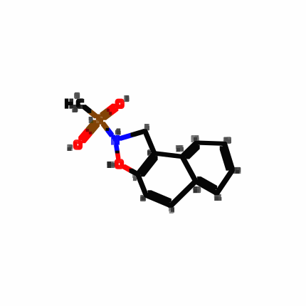 CS(=O)(=O)N1Cc2c(ccc3ccccc23)O1